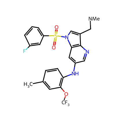 CNCc1cn(S(=O)(=O)c2cccc(F)c2)c2cc(Nc3ccc(C)cc3OC(F)(F)F)cnc12